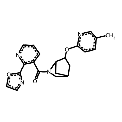 Cc1ccc(OC2CC3CC2N(C(=O)c2cccnc2-c2ncco2)C3)nc1